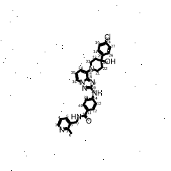 Cc1ncccc1CNC(=O)c1ccc(Nc2nc3c(N4CCC(O)(c5ccc(Cl)cc5)CC4)cccn3n2)cc1